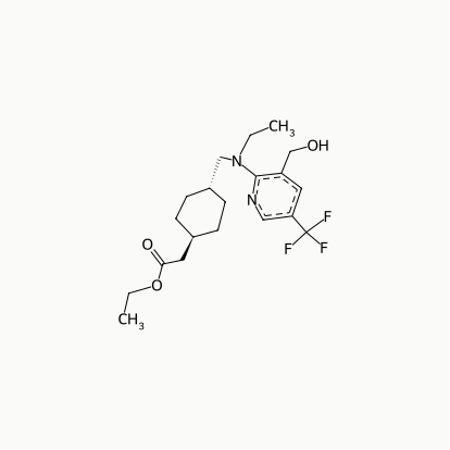 CCOC(=O)C[C@H]1CC[C@H](CN(CC)c2ncc(C(F)(F)F)cc2CO)CC1